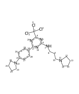 ClC(Cl)(Cl)c1nc(NCCCN2CCCC2)nc(-c2ccc(N3CCCC3)cc2)n1